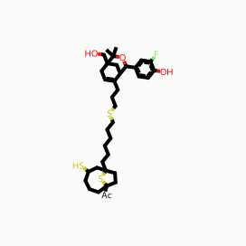 CC(=O)C12CCCC(S)CC(CCCCCCSCCCC3=CCC4(CO)CC3C(c3ccc(O)c(F)c3)OC4(C)C)(CC1)S2